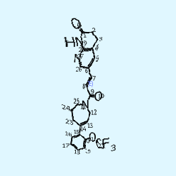 O=C1CCc2cc(/C=C/C(=O)N3CC=C(c4ccccc4OC(F)(F)F)CCC3)cnc2N1